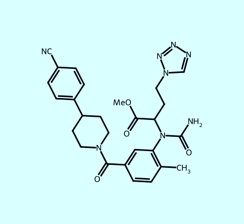 COC(=O)C(CCn1cnnn1)N(C(N)=O)c1cc(C(=O)N2CCC(c3ccc(C#N)cc3)CC2)ccc1C